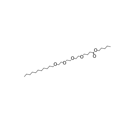 CCCCCCCCCCCOCCOCCOCCOCCCC(=O)OCCCCC